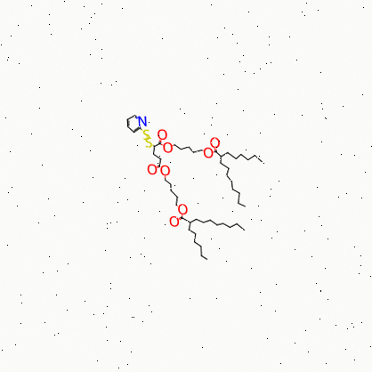 CCCCCCCCC(CCCCCC)C(=O)OCCCCCOC(=O)CCC(SSc1ccccn1)C(=O)OCCCCCOC(=O)C(CCCCCC)CCCCCCCC